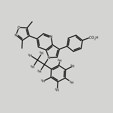 [2H]c1c([2H])c([2H])c(C([2H])(n2cc(-c3ccc(C(=O)O)cc3)c3ncc(-c4c(C)noc4C)cc32)C([2H])([2H])[2H])c([2H])c1[2H]